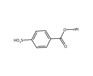 CCCOC(=O)c1ccc(S(=O)(=O)O)cc1